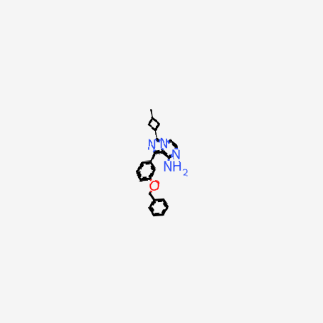 C[C@H]1C[C@@H](c2nc(-c3cccc(OCc4ccccc4)c3)c3c(N)nccn32)C1